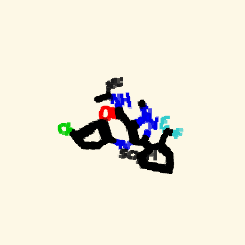 C[C@H](NC(=O)c1c(N(c2ccc(Cl)cc2)S(=O)(=O)O)c(-c2ccccc2C(F)F)nn1C)C(C)(C)C